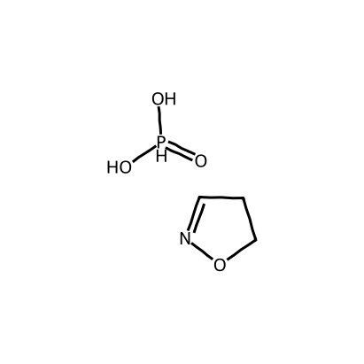 C1=NOCC1.O=[PH](O)O